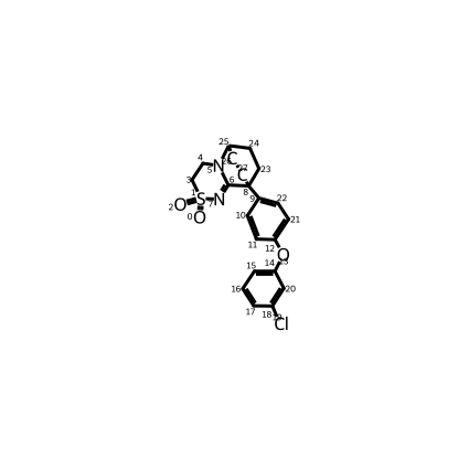 O=S1(=O)CCN2C(=N1)C1(c3ccc(Oc4cccc(Cl)c4)cc3)CCC2CC1